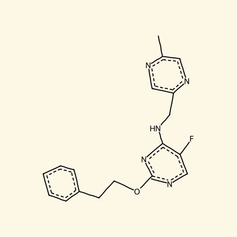 Cc1cnc(CNc2nc(OCCc3ccccc3)ncc2F)cn1